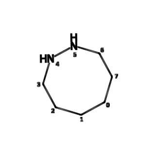 C1CCCNNCC1